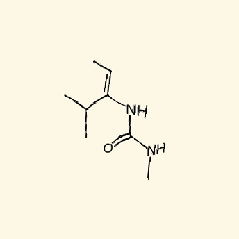 C/C=C(/NC(=O)NC)C(C)C